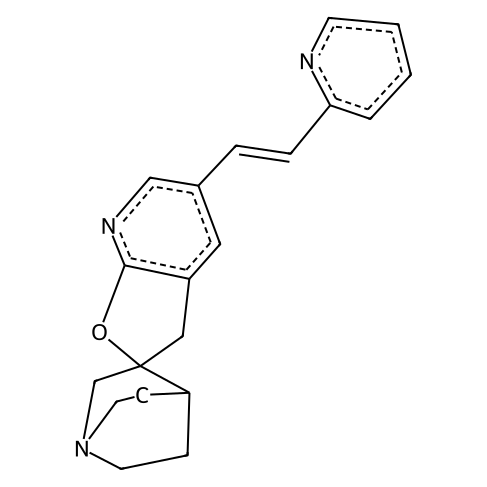 C(=Cc1ccccn1)c1cnc2c(c1)CC1(CN3CCC1CC3)O2